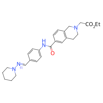 CCOC(=O)CN1CCc2cc(C(=O)Nc3ccc(/C=N/N4CCCCC4)cc3)ccc2C1